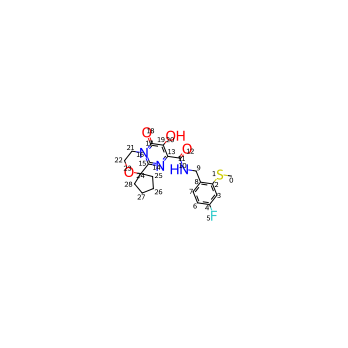 CSc1cc(F)ccc1CNC(=O)c1nc2n(c(=O)c1O)CCOC21CCCC1